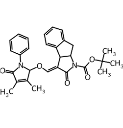 CC1=C(C)C(O/C=C2/C(=O)N(C(=O)OC(C)(C)C)C3Cc4ccccc4C23)N(c2ccccc2)C1=O